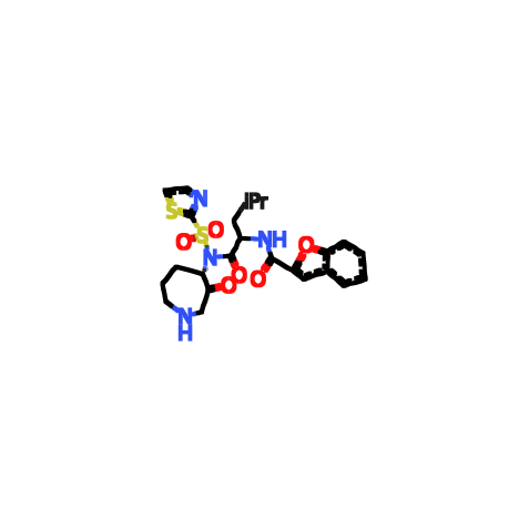 CC(C)CC(NC(=O)c1cc2ccccc2o1)C(=O)N([C@H]1CCCNCC1=O)S(=O)(=O)c1nccs1